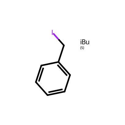 CC[C@H](C)C(I)c1ccccc1